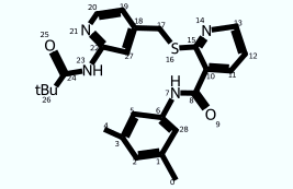 Cc1cc(C)cc(NC(=O)c2cccnc2SCc2ccnc(NC(=O)C(C)(C)C)c2)c1